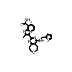 Cc1nc2c(C(N)=O)cccn2c1-c1nc2c(c(NCc3cccs3)n1)CCOCC2